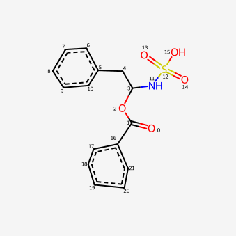 O=C(OC(Cc1ccccc1)NS(=O)(=O)O)c1ccccc1